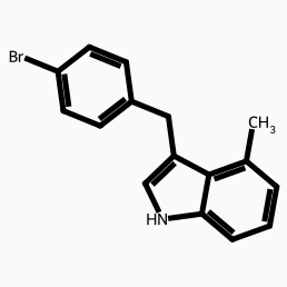 Cc1cccc2[nH]cc(Cc3ccc(Br)cc3)c12